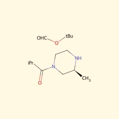 CC(C)(C)OC=O.CC(C)C(=O)N1CCN[C@@H](C)C1